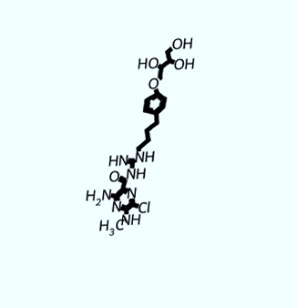 CNc1nc(N)c(C(=O)NC(=N)NCCCCc2ccc(OCC(O)C(O)CO)cc2)nc1Cl